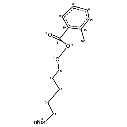 [CH2]CCCCCCCCCCCCCOOC(=O)c1ccccc1C